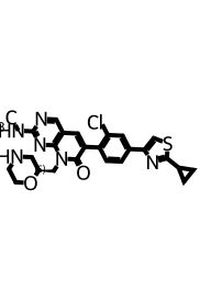 CNc1ncc2cc(-c3ccc(-c4csc(C5CC5)n4)cc3Cl)c(=O)n(C[C@@H]3CNCCO3)c2n1